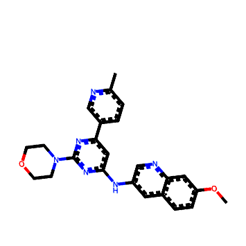 COc1ccc2cc(Nc3cc(-c4ccc(C)nc4)nc(N4CCOCC4)n3)cnc2c1